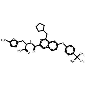 Cc1ccc(CC(NC(=O)c2cc3ccc(Oc4ccc(C(C)(C)C)cc4)cc3c(CC3CCCC3)n2)C(=O)O)s1